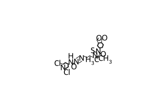 CC1(C)C(=O)N(c2ccc3c(c2)COC3=O)C(=S)N1CCCCN1CCN(C(=O)Nc2cc(Cl)nc(Cl)c2)CC1